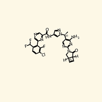 C[C@@H](c1cnc(N2C[C@H]3C=C[C@H]3C2=O)nc1N)n1cc(NC(=O)c2cncc(-c3c(C(F)F)ccc(Cl)c3F)n2)cn1